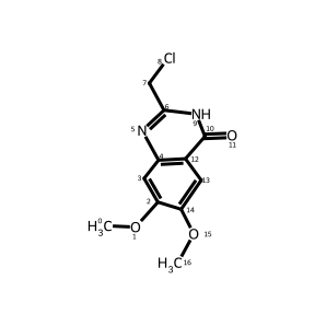 COc1cc2nc(CCl)[nH]c(=O)c2cc1OC